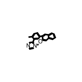 Cc1ccc2c(oc3cc4ccccc4cc32)c1-c1cncc[n+]1C